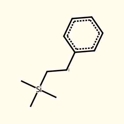 C[Si](C)(C)C[C]c1ccccc1